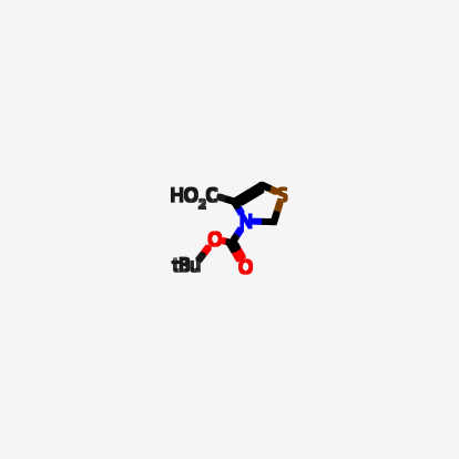 CC(C)(C)OC(=O)N1CSC=C1C(=O)O